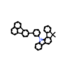 CC1(C)c2ccccc2-c2c1ccc1c3ccccc3n(-c3cccc(-c4ccc5c(c4)-c4cccc6cccc-5c46)c3)c21